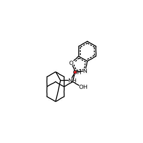 OC(O)C12CC3CC(C1)C(Nc1nc4ccccc4o1)C(C3)C2